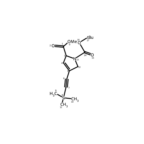 COC(=O)C1C=C(C#C[Si](C)(C)C)CN1C(=O)OC(C)(C)C